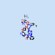 COc1cc(NC(=O)c2ccccc2N2CCN(C(=O)CN(C)C(=O)Oc3ncoc3C)CC2)ccn1